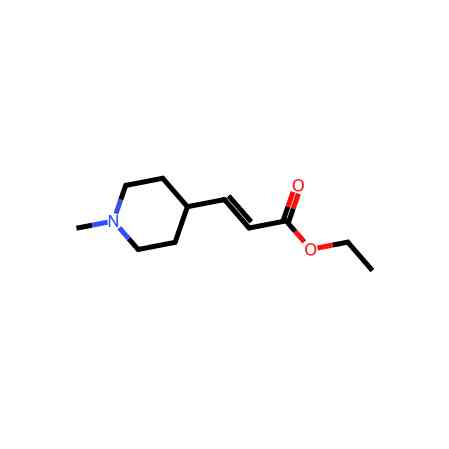 CCOC(=O)/C=C/C1CCN(C)CC1